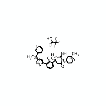 C[C@H](c1cccnc1)n1cc(-c2cccc([C@]3(C)CC(=O)N([C@H]4CCO[C@@H](C)C4)C(=N)N3)c2Cl)nn1.O=C(O)C(F)(F)F